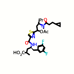 CC(=O)OC(CC(C(C)C)N(C)C(=O)CCC1CC1)c1nc(C(=O)N[C@@H](Cc2cc(F)cc(F)c2)CC(C)C(=O)O)cs1